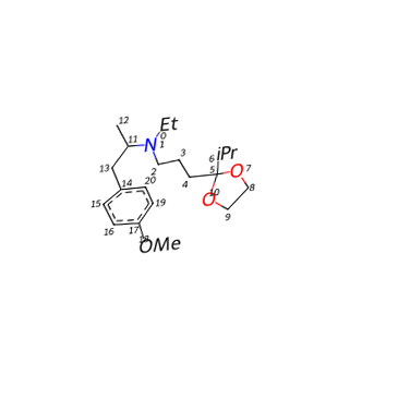 CCN(CCCC1(C(C)C)OCCO1)C(C)Cc1ccc(OC)cc1